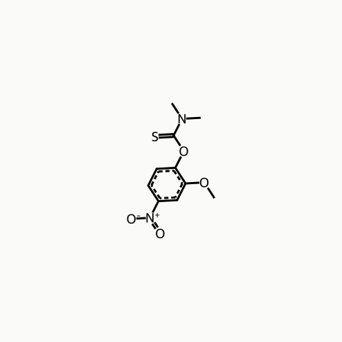 COc1cc([N+](=O)[O-])ccc1OC(=S)N(C)C